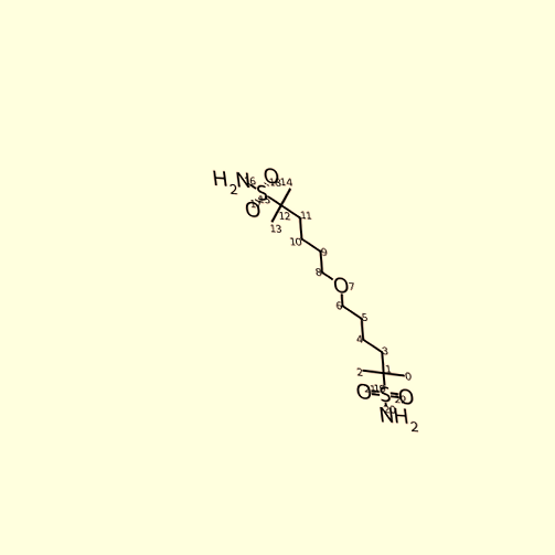 CC(C)(CCCCOCCCCC(C)(C)S(N)(=O)=O)S(N)(=O)=O